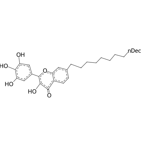 CCCCCCCCCCCCCCCCCCc1ccc2c(=O)c(O)c(-c3cc(O)c(O)c(O)c3)oc2c1